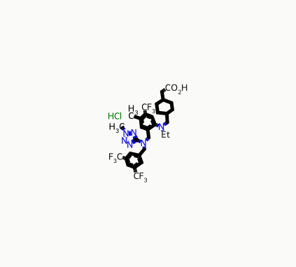 CCN(CC1CCC(CC(=O)O)CC1)c1cc(C(F)(F)F)c(C)cc1CN(Cc1cc(C(F)(F)F)cc(C(F)(F)F)c1)c1nnn(C)n1.Cl